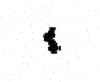 O=C(Nc1nc2ccc(-c3cnc4c(c3)N(C(=O)OCC3CC3)CC4)nc2s1)C1CC1